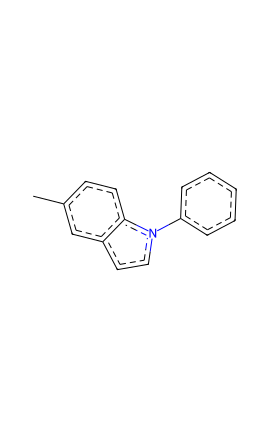 Cc1ccc2c(ccn2-c2ccccc2)c1